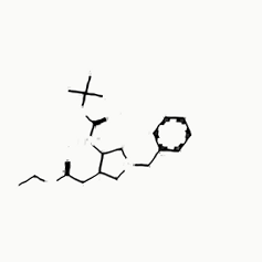 CCOC(=O)CC1CN(Cc2ccccc2)CC1NC(=O)OC(C)(C)C